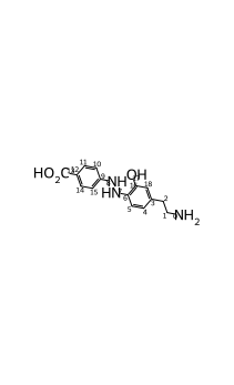 NCCc1ccc(NNc2ccc(C(=O)O)cc2)c(O)c1